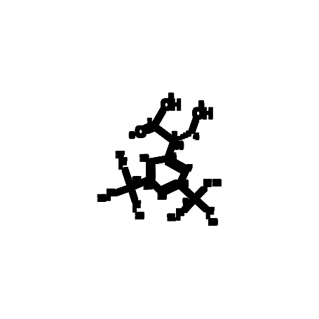 O=C(O)[C@H](CO)c1cc(C(F)(F)F)cc(C(F)(F)F)c1